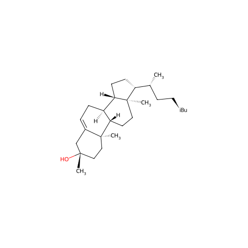 CC[C@H](C)CC[C@@H](C)[C@H]1CC[C@H]2[C@@H]3CC=C4C[C@@](C)(O)CC[C@]4(C)[C@H]3CC[C@]12C